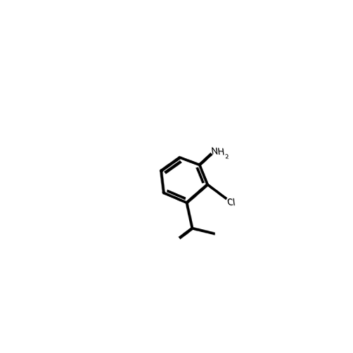 CC(C)c1cccc(N)c1Cl